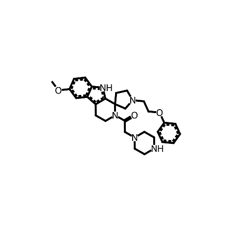 COc1ccc2[nH]c3c(c2c1)CCN(C(=O)CN1CCNCC1)C31CCN(CCOc2ccccc2)C1